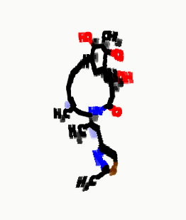 C/C1=C/CCC[C@@H]2C[C@@](C)(C(=O)[C@@H](C)[C@@H]2O)[C@@H](O)CC(=O)N[C@H](/C(C)=C/c2csc(C)n2)C1